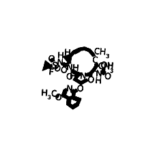 COc1cnc(O[C@@H]2C[C@H]3C(=O)N[C@]4(C(=O)NS(=O)(=O)C5(F)CC5)C[C@H]4/C=C\CCC(C)C[C@@H](C)[C@H](NC(=O)O)C(=O)N3C2)c2ccccc12